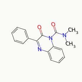 CN(C)C(=O)n1c(=O)c(-c2ccccc2)nc2ccccc21